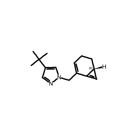 CC(C)(C)c1cnn(CC2=CCC[C@@H]3C=C23)c1